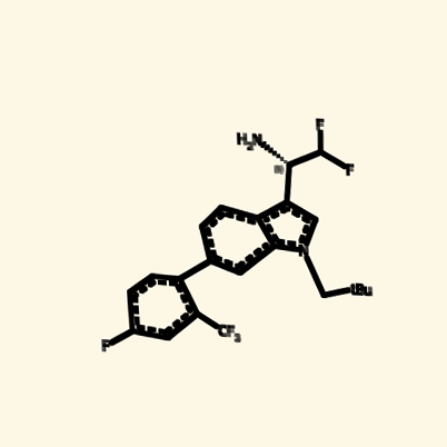 CC(C)(C)Cn1cc([C@H](N)C(F)F)c2ccc(-c3ccc(F)cc3C(F)(F)F)cc21